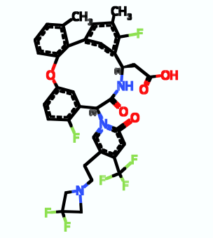 Cc1cc2cc(c1F)[C@@H](CC(=O)O)NC(=O)[C@@H](n1cc(CCN3CC(F)(F)C3)c(C(F)(F)F)cc1=O)c1cc(ccc1F)Oc1cccc(C)c1-2